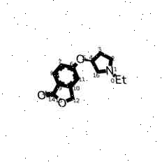 CCN1CC[C@H](Oc2ccc3c(c2)COC3=O)C1